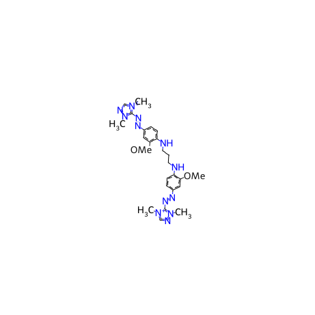 COc1cc(N=Nc2n(C)nc[n+]2C)ccc1NCCCNc1ccc(N=Nc2n(C)nc[n+]2C)cc1OC